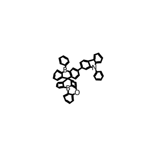 c1ccc(B2c3ccccc3C3(c4ccc(-c5ccc6c7ccccc7n(-c7ccccc7)c6c5)cc42)c2ccccc2B2c4ccccc4Oc4cccc3c42)cc1